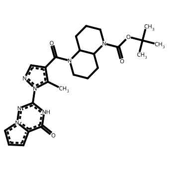 Cc1c(C(=O)N2CCCC3C2CCCN3C(=O)OC(C)(C)C)cnn1-c1nn2cccc2c(=O)[nH]1